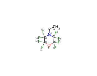 CCN1C(F)(F)C(F)(F)OC(F)(F)C1(F)F